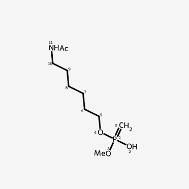 C=P(O)(OC)OCCCCCCNC(C)=O